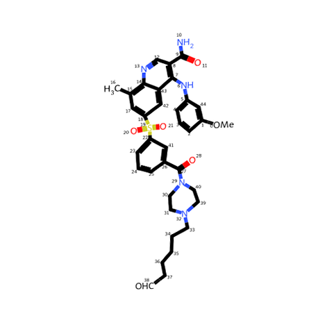 COc1cccc(Nc2c(C(N)=O)cnc3c(C)cc(S(=O)(=O)c4cccc(C(=O)N5CCN(CCCCCC=O)CC5)c4)cc23)c1